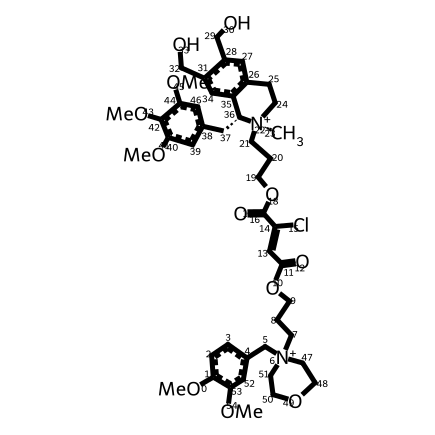 COc1ccc(C[N+]2(CCCOC(=O)/C=C(\Cl)C(=O)OCCC[N@+]3(C)CCc4cc(CO)c(CO)cc4[C@H]3Cc3cc(OC)c(OC)c(OC)c3)CCOCC2)cc1OC